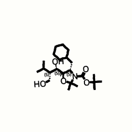 CC(C)[C@@H](CO)[C@H](O)[C@@H]1OC(C)(C)N(C(=O)OC(C)(C)C)[C@H]1CC1CCCCC1